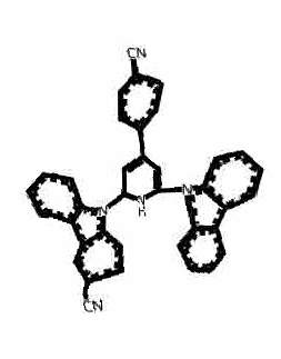 N#Cc1ccc(C2=CC(n3c4ccccc4c4cc(C#N)ccc43)NC(n3c4ccccc4c4ccccc43)=C2)cc1